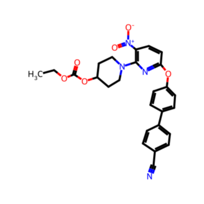 CCOC(=O)OC1CCN(c2nc(Oc3ccc(-c4ccc(C#N)cc4)cc3)ccc2[N+](=O)[O-])CC1